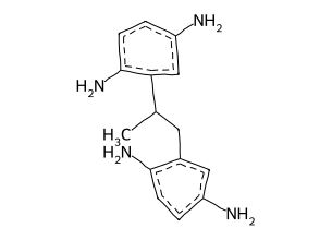 CC(Cc1cc(N)ccc1N)c1cc(N)ccc1N